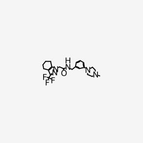 CN1CCN(c2cccc(CNC(=O)Cn3nc(C(F)(F)F)c4c3CCCC4)c2)CC1